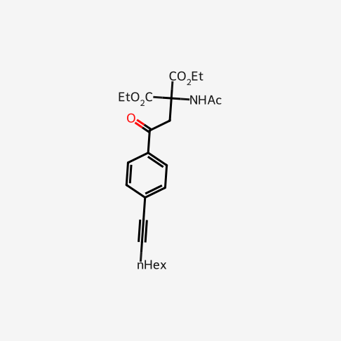 CCCCCCC#Cc1ccc(C(=O)CC(NC(C)=O)(C(=O)OCC)C(=O)OCC)cc1